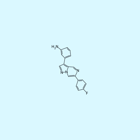 Nc1cccc(-c2cnn3cc(-c4ccc(F)cc4)ncc23)c1